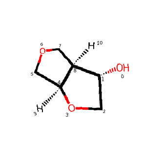 O[C@@H]1CO[C@H]2COC[C@@H]12